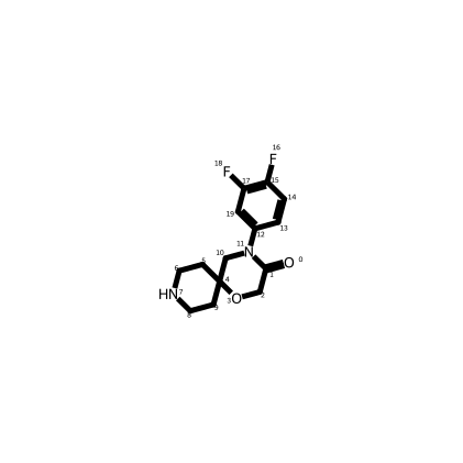 O=C1COC2(CCNCC2)CN1c1ccc(F)c(F)c1